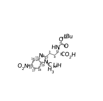 Cn1c(CC[C@H](NC(=O)OC(C)(C)C)C(=O)O)nc2cc([N+](=O)[O-])ccc21.[LiH]